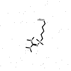 CCCCCCCCCCCCCC[Si](C)(C)N=C(N(C)C)N(C)C